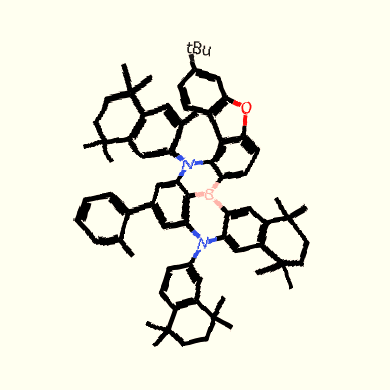 Cc1ccccc1-c1cc2c3c(c1)N(c1cc4c(cc1C)C(C)(C)CCC4(C)C)c1c(ccc4oc5cc(C(C)(C)C)ccc5c14)B3c1cc3c(cc1N2c1ccc2c(c1)C(C)(C)CCC2(C)C)C(C)(C)CCC3(C)C